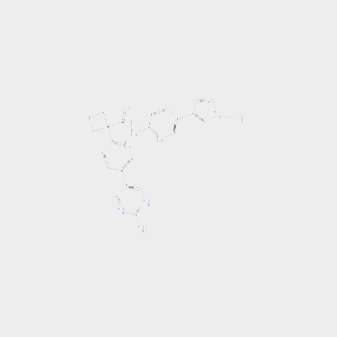 Cn1ccc(-c2ccc(NC(=O)C3(c4ccc(-c5cnc(N)nc5)cn4)CCC3)nc2)c1